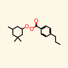 CCCc1ccc(C(=O)OO[C]2CC(C)CC(C)(C)C2)cc1